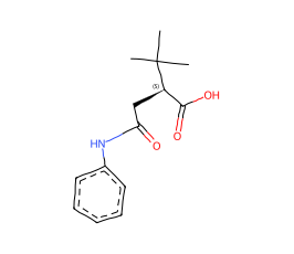 CC(C)(C)[C@H](CC(=O)Nc1ccccc1)C(=O)O